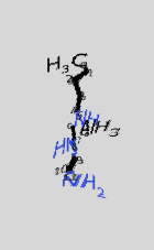 CCCCCNCCNCCN.[AlH3]